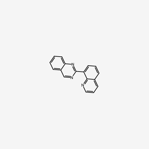 c1ccc2nc(-c3cccc4cccnc34)ncc2c1